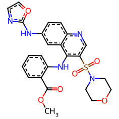 COC(=O)c1ccccc1Nc1c(S(=O)(=O)N2CCOCC2)cnc2ccc(Nc3ncco3)cc12